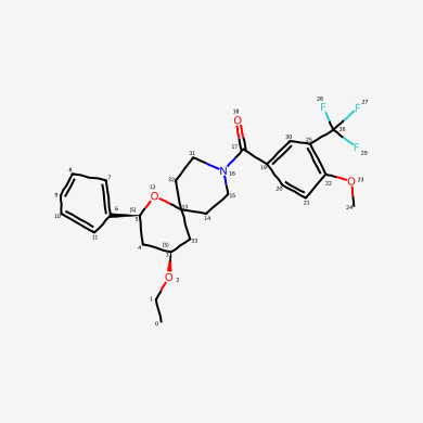 CCO[C@H]1C[C@@H](c2ccccc2)OC2(CCN(C(=O)c3ccc(OC)c(C(F)(F)F)c3)CC2)C1